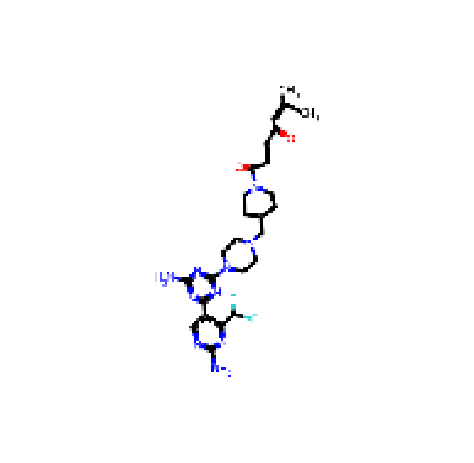 CC(C)=CC(=O)CCC(=O)N1CCC(CN2CCN(c3nc(N)nc(-c4cnc(N)nc4C(F)F)n3)CC2)CC1